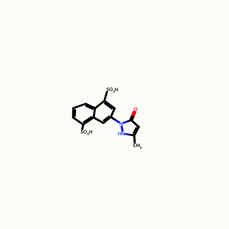 Cc1cc(=O)n(-c2cc(S(=O)(=O)O)c3cccc(S(=O)(=O)O)c3c2)[nH]1